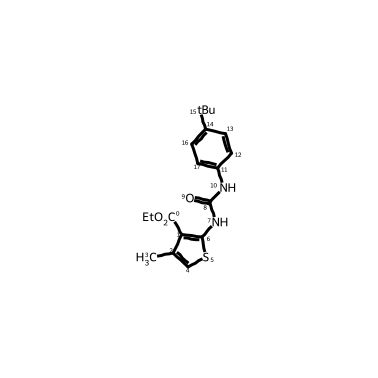 CCOC(=O)c1c(C)csc1NC(=O)Nc1ccc(C(C)(C)C)cc1